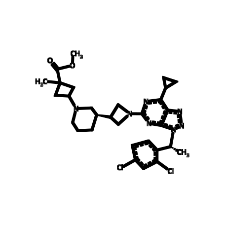 COC(=O)C1(C)CC(N2CCC[C@H](C3CN(c4nc(C5CC5)c5nnn([C@H](C)c6ccc(Cl)cc6Cl)c5n4)C3)C2)C1